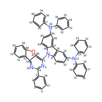 c1ccc(-c2nc(-n3c4ccc(N(c5ccccc5)c5ccccc5)cc4c4cc(N(c5ccccc5)c5ccccc5)ccc43)c3oc4ccccc4c3n2)cc1